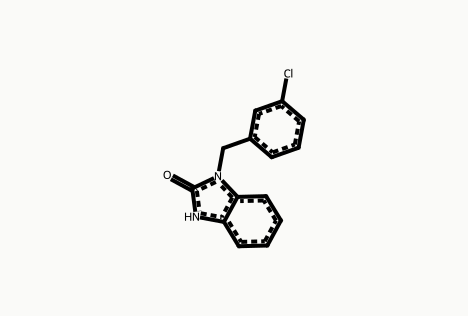 O=c1[nH]c2ccccc2n1Cc1cccc(Cl)c1